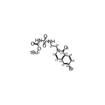 CC(C)(C)OC(=O)NS(=O)(=O)NCCn1ccc2cc(Br)ccc2c1=O